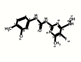 Cc1ccc(NC(=O)Nc2nc(C)c(F)c(NO)n2)cc1Cl